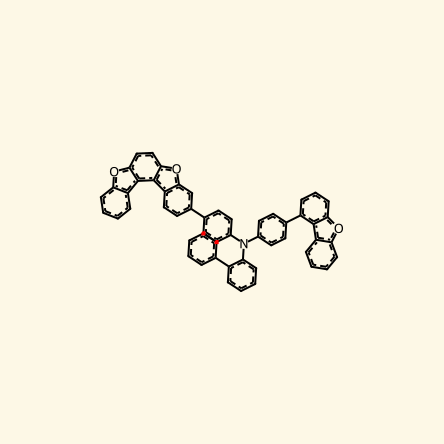 c1ccc(-c2ccccc2N(c2ccc(-c3ccc4c(c3)oc3ccc5oc6ccccc6c5c34)cc2)c2ccc(-c3cccc4oc5ccccc5c34)cc2)cc1